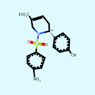 CCOC(=O)C1=CC[C@H](c2ccc(C#N)cc2)N(S(=O)(=O)c2ccc([N+](=O)[O-])cc2)C1